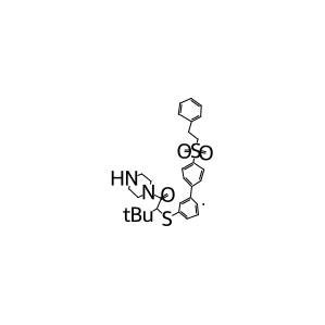 CC(C)(C)C(Sc1cc[c]c(-c2ccc(S(=O)(=O)CCc3ccccc3)cc2)c1)C(=O)N1CCNCC1